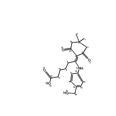 CC1(C)CC(=O)C(=C(CCCCC(=O)O)Nc2ccc(CO)cc2)C(=O)C1